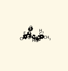 Cc1cc(C)c(C[C@@H](C(=O)O)N2CCN(C(=O)[C@@H]3CN(C4CCOCC4)CC3c3ccc(Cl)cc3F)CC2)c(C)c1